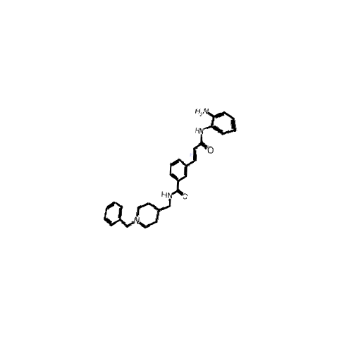 Nc1ccccc1NC(=O)/C=C/c1cccc(C(=O)NCC2CCN(Cc3ccccc3)CC2)c1